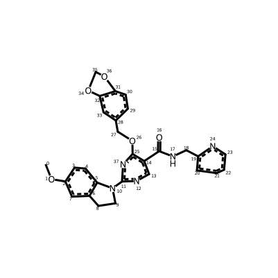 COc1ccc2c(c1)CCN2c1ncc(C(=O)NCc2ccccn2)c(OCc2ccc3c(c2)OCO3)n1